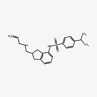 C=CCNCC1Cc2cccc(NS(=O)(=O)c3ccc(C(C)C)cc3)c2C1